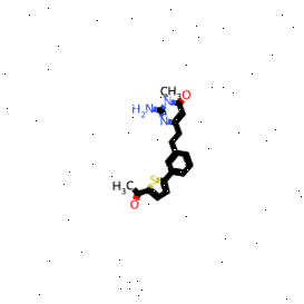 CC(=O)c1ccc(-c2cccc(CCc3cc(=O)n(C)c(N)n3)c2)s1